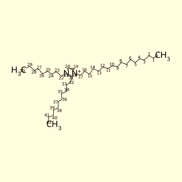 CCCCCCCCCCCCCCCCCC[n+]1ccn(CCCCCCCCC)c1CCCCCCCCCCC